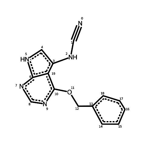 N#CNc1c[nH]c2ncnc(OCc3ccccc3)c12